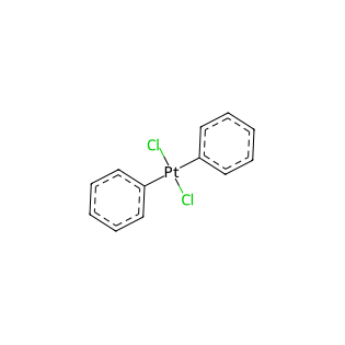 [Cl][Pt]([Cl])([c]1ccccc1)[c]1ccccc1